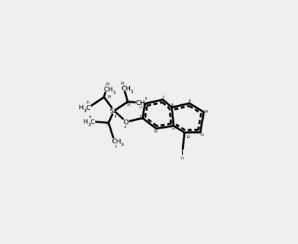 CC(C)[Si](Oc1ccc2cccc(I)c2c1)(C(C)C)C(C)C